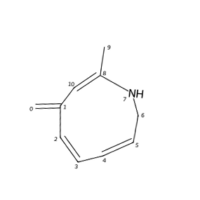 C=C1/C=C\C=C/CN/C(C)=C\1